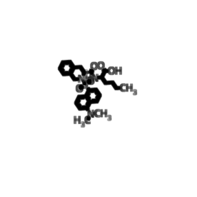 CCCCC(NC(=O)[C@@H]1Cc2ccccc2CN1S(=O)(=O)c1cccc2c(N(C)C)cccc12)C(=O)O